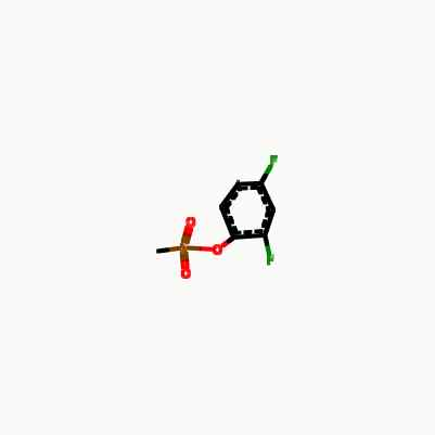 CS(=O)(=O)Oc1c[c]c(F)cc1F